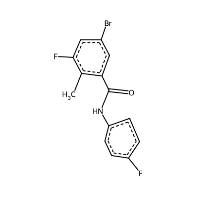 Cc1c(F)cc(Br)cc1C(=O)Nc1ccc(F)cc1